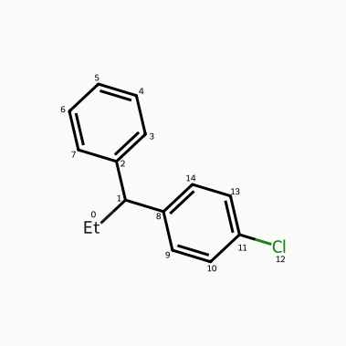 [CH2]CC(c1ccccc1)c1ccc(Cl)cc1